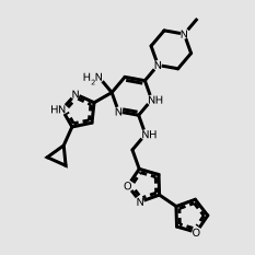 CN1CCN(C2=CC(N)(c3cc(C4CC4)[nH]n3)N=C(NCc3cc(-c4ccoc4)no3)N2)CC1